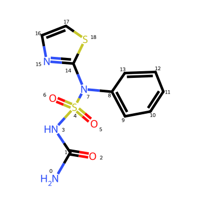 NC(=O)NS(=O)(=O)N(c1ccccc1)c1nccs1